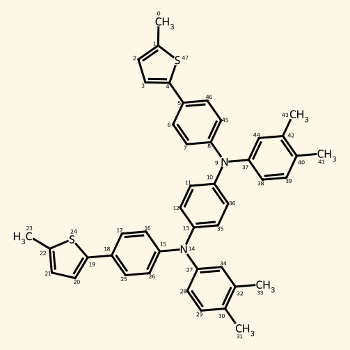 Cc1ccc(-c2ccc(N(c3ccc(N(c4ccc(-c5ccc(C)s5)cc4)c4ccc(C)c(C)c4)cc3)c3ccc(C)c(C)c3)cc2)s1